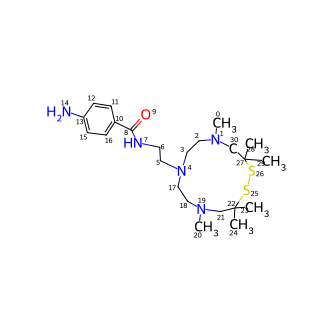 CN1CCN(CCNC(=O)c2ccc(N)cc2)CCN(C)CC(C)(C)SSC(C)(C)C1